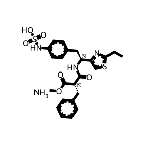 CCc1nc([C@H](Cc2ccc(NS(=O)(=O)O)cc2)NC(=O)[C@H](Cc2ccccc2)C(=O)OC)cs1.N